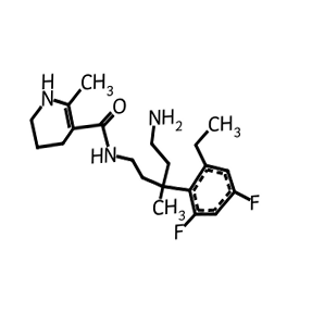 CCc1cc(F)cc(F)c1C(C)(CCN)CCNC(=O)C1=C(C)NCCC1